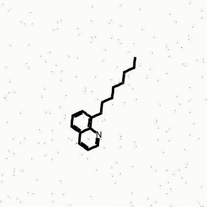 CCCCCCCCc1cccc2[c]ccnc12